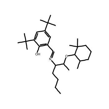 CCCCC(/N=C/c1cc(C(C)(C)C)cc(C(C)(C)C)c1O)C(C)OC1C(C)CCCC1(C)C